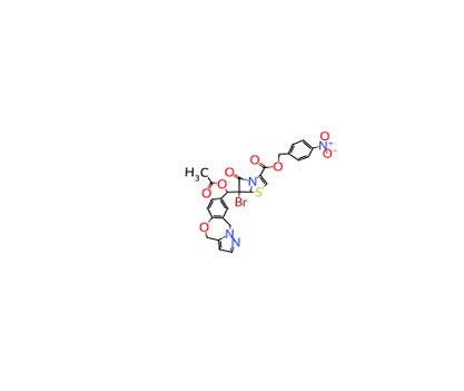 CC(=O)OC(c1ccc2c(c1)Cn1nccc1CO2)C1(Br)C(=O)N2C(C(=O)OCc3ccc([N+](=O)[O-])cc3)=CSC21